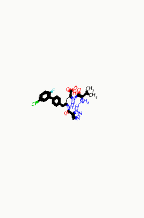 CC(C)C(N)C(=O)N[C@H](C[C@@H](Cc1ccc(-c2cc(Cl)ccc2F)cc1)NC(=O)c1cnn[nH]1)C(=O)O